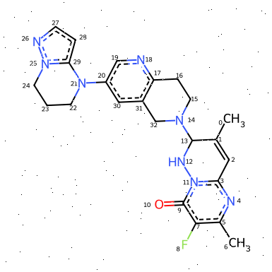 CC1=Cc2nc(C)c(F)c(=O)n2NC1N1CCc2ncc(N3CCCn4nccc43)cc2C1